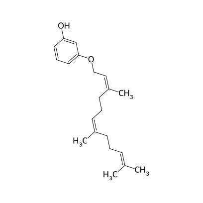 CC(C)=CCCC(C)=CCCC(C)=CCOc1cccc(O)c1